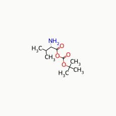 CC(C)[C@H](N)C(=O)OC(=O)OC(C)(C)C